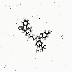 O=C(O)N1CCc2c(c(-c3ccc(Br)cc3)nn2CCCN2CCN(c3ccccc3[N+](=O)[O-])CC2)C1